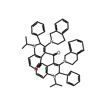 CC(C)N1c2ccncc2C(C(=O)C2=C(N3CCc4ccccc4C3)C(c3ccccc3)N(C(C)C)c3ccncc32)=C(N2CCc3ccccc3C2)C1c1ccccc1